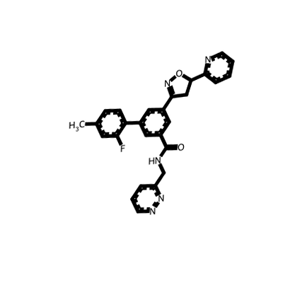 Cc1ccc(-c2cc(C(=O)NCc3cccnn3)cc(C3=NOC(c4ccccn4)C3)c2)c(F)c1